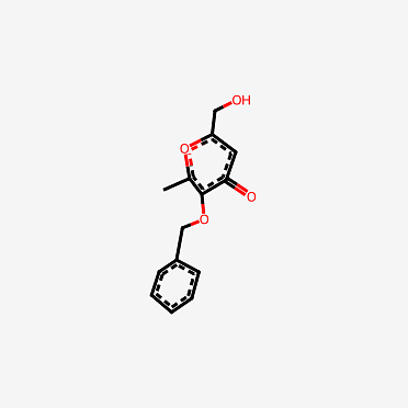 Cc1oc(CO)cc(=O)c1OCc1ccccc1